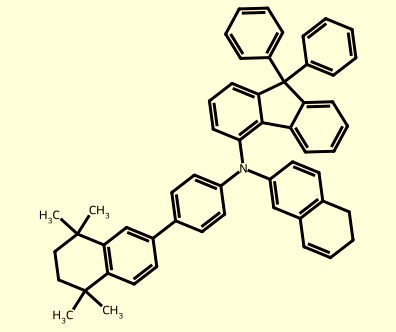 CC1(C)CCC(C)(C)c2cc(-c3ccc(N(c4ccc5c(c4)C=CCC5)c4cccc5c4-c4ccccc4C5(c4ccccc4)c4ccccc4)cc3)ccc21